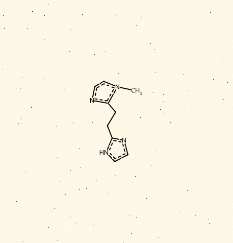 Cn1ccnc1CCc1ncc[nH]1